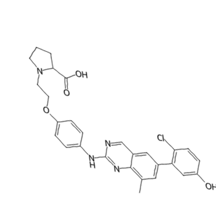 Cc1cc(-c2cc(O)ccc2Cl)cc2cnc(Nc3ccc(OCCN4CCCC4C(=O)O)cc3)nc12